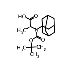 C[C@@H](C(=O)O)N(C(=O)OC(C)(C)C)C12CC3CC(CC(C3)C1)C2